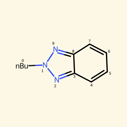 [CH2]CCCn1nc2ccccc2n1